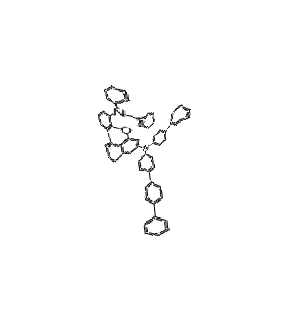 c1ccc(-c2ccc(-c3ccc(N(c4ccc(-c5ccccc5)cc4)c4cc5c6c(cccc6c4)-c4cccc(N(c6ccccc6)c6ccccc6)c4O5)cc3)cc2)cc1